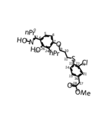 CCCC(=NO)c1ccc(OCCCSc2ccc(CC(=O)OC)cc2Cl)c(CCC)c1O